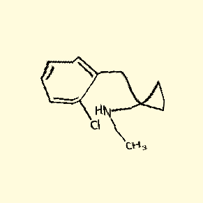 CNC1(Cc2ccccc2Cl)CC1